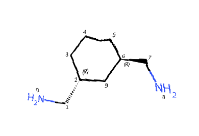 NC[C@@H]1CCC[C@@H](CN)C1